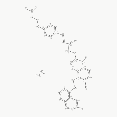 Cc1ccc2cccc(OCc3c(Cl)ccc(N(C)C(=O)CNC(=O)C=Cc4ccc(OCCN(C)C)cc4)c3Cl)c2n1.Cl.Cl